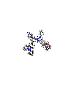 c1ccc(-c2nc(-c3cc(-c4ccncc4)cc(-c4ccc5c(c4)c4ccccc4n5-c4ccccc4)c3)nc(-c3ccc4c(c3)oc3ccccc34)n2)cc1